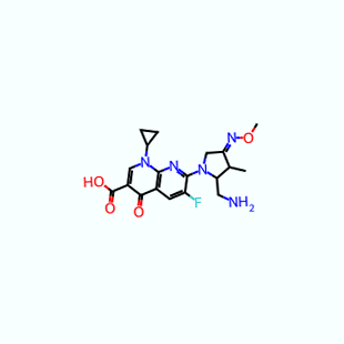 CON=C1CN(c2nc3c(cc2F)c(=O)c(C(=O)O)cn3C2CC2)C(CN)C1C